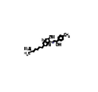 Cc1ccc([C@@H](O)/C=C/[C@@H]2[C@H]3CC(CCCCCN(C)C)=C[C@H]3C[C@H]2O)cc1